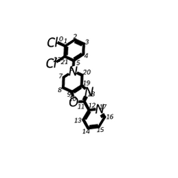 Clc1cccc(N2CCc3oc(-c4ccccn4)nc3C2)c1Cl